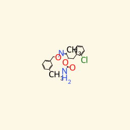 CC(=NOCc1cccc(C)c1)C(Cc1ccccc1Cl)OC(N)=O